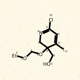 CCOCOC1(CO)CN=C(Cl)C=C1I